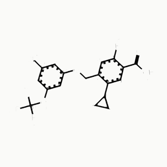 O=C(O)c1cc(C2CC2)c(COc2cc(Cl)cc(OC(F)(F)F)c2)cc1F